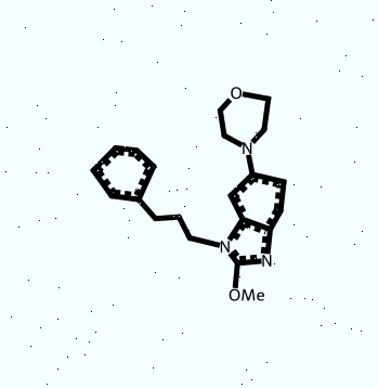 COc1nc2ccc(N3CCOCC3)cc2n1CCCc1ccccc1